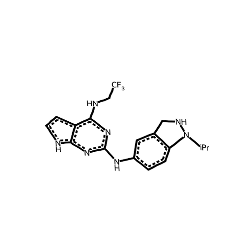 CC(C)N1NCc2cc(Nc3nc(NCC(F)(F)F)c4cc[nH]c4n3)ccc21